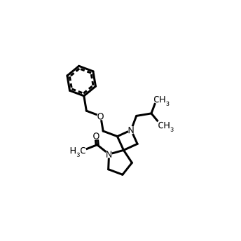 CC(=O)N1CCCC12CN(CC(C)C)C2COCc1ccccc1